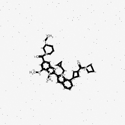 CC[C@@H]1CCCN(C(=O)c2cc(OC)c3c(c2)nc(-c2cc4cccc(C5CC(C(=O)N6CCC6)C5)c4n2CC2CC2)n3C)C1